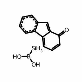 O=C1C=CC=C2C1=Cc1ccccc12.OB(O)[SiH3]